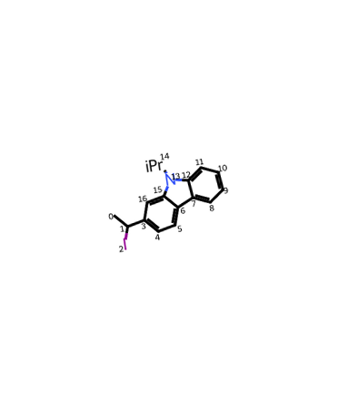 CC(I)c1ccc2c3ccccc3n(C(C)C)c2c1